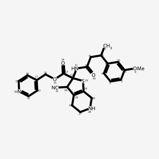 COc1cccc(C(C)CC(=O)NC2(C(=O)OCc3ccncc3)SC3=C(CCNC3)C2C#N)c1